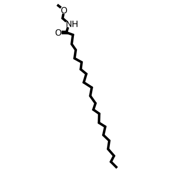 CCCCCCCCCCCCCCCCCCCCCC(=O)NCOC